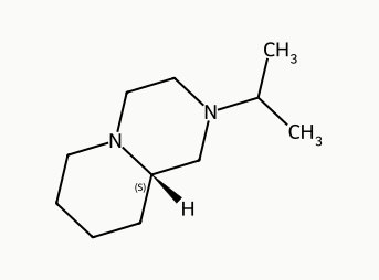 CC(C)N1CCN2CCCC[C@H]2C1